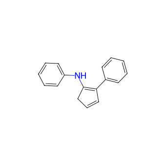 C1=CC(c2ccccc2)=C(Nc2ccccc2)C1